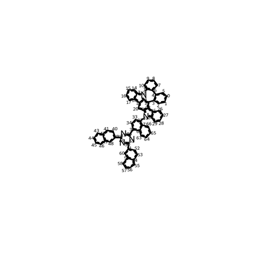 c1ccc2c(c1)-c1ccccc1-n1c3ccccc3c3cc4c(c-2c31)c1ccccc1n4-c1ccc(-c2nc(-c3ccc4ccccc4c3)nc(-c3ccc4ccccc4c3)n2)c2ccccc12